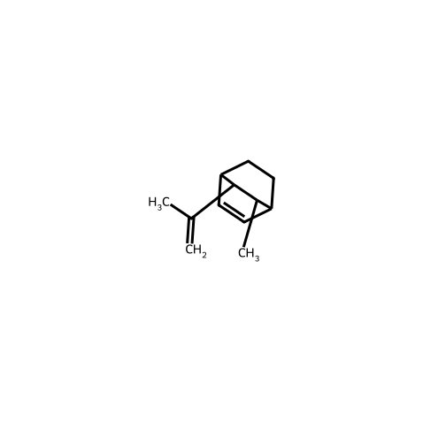 C=C(C)C1C2C=CC(CC2)C1C